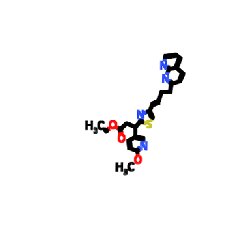 CCOC(=O)CC(c1ccc(OC)nc1)c1nc(/C=C/CCc2ccc3cccnc3n2)cs1